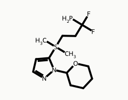 CS(C)(CCC(F)(F)P)c1ccnn1C1CCCCO1